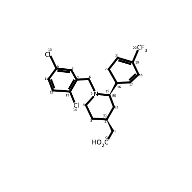 O=C(O)C[C@H]1CCN(Cc2cc(Cl)ccc2Cl)[C@@H](C2C=CC(C(F)(F)F)=CC2)C1